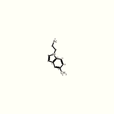 CC(=O)CCn1ccc2cc(C)ccc21